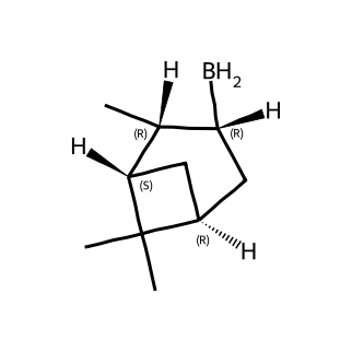 B[C@@H]1C[C@@H]2C[C@@H]([C@@H]1C)C2(C)C